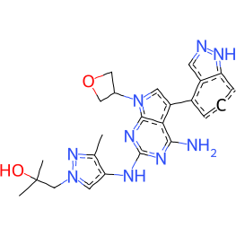 Cc1nn(CC(C)(C)O)cc1Nc1nc(N)c2c(-c3cccc4[nH]ncc34)cn(C3COC3)c2n1